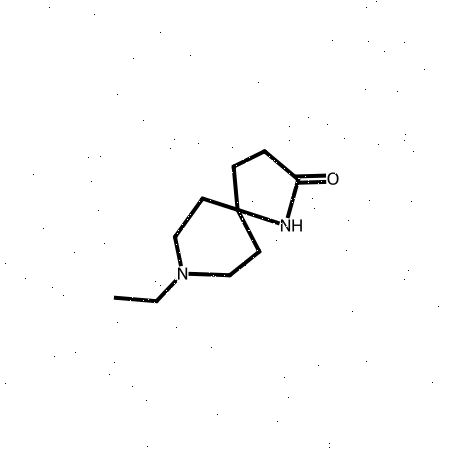 CCN1CCC2(CCC(=O)N2)CC1